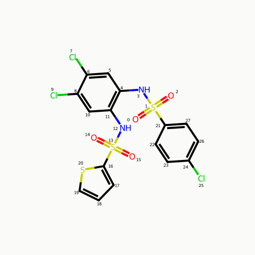 O=S(=O)(Nc1cc(Cl)c(Cl)cc1NS(=O)(=O)c1cccs1)c1ccc(Cl)cc1